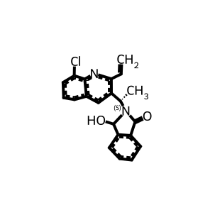 C=Cc1nc2c(Cl)cccc2cc1[C@H](C)N1C(=O)c2ccccc2C1O